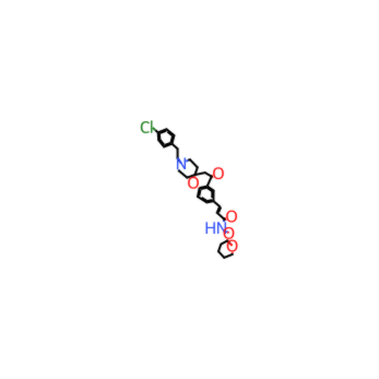 O=C(C=Cc1ccc2c(c1)C(=O)CC1(CCN(CCc3ccc(Cl)cc3)CC1)O2)NOC1CCCCO1